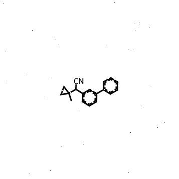 CC1(C(C#N)c2cccc(-c3ccccc3)c2)CC1